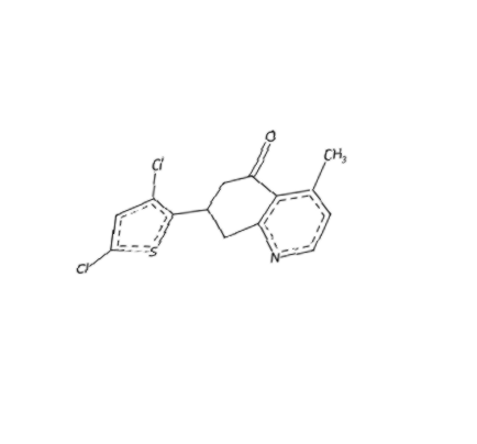 Cc1ccnc2c1C(=O)CC(c1sc(Cl)cc1Cl)C2